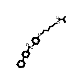 C=C(C)C(=O)OCCCCCCOc1ccc(OC(=O)c2ccc(-c3ccccc3)cc2)cc1